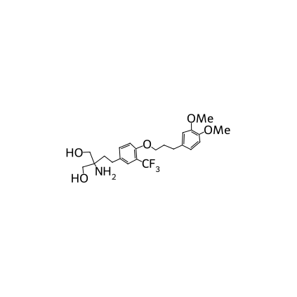 COc1ccc(CCCOc2ccc(CCC(N)(CO)CO)cc2C(F)(F)F)cc1OC